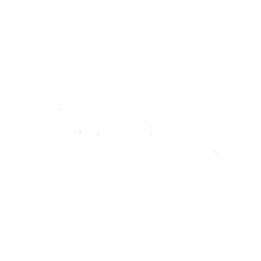 CN(C)Cc1ccccc1Cc1ccc(-c2c(O)c3c(Cl)cc(Cl)cc3[nH]c2=O)cc1